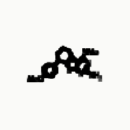 CNc1nc(N)nc2sc3c(c12)CCCC3c1ccc(OC)cc1